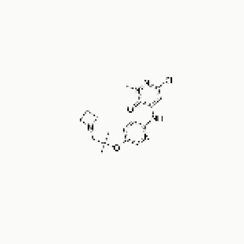 Cn1nc(Cl)cc(Nc2ccc(OC(C)(C)CN3CCC3)cn2)c1=O